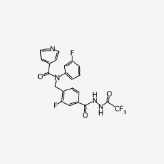 O=C(NNC(=O)C(F)(F)F)c1ccc(CN(C(=O)c2ccncc2)c2cccc(F)c2)c(F)c1